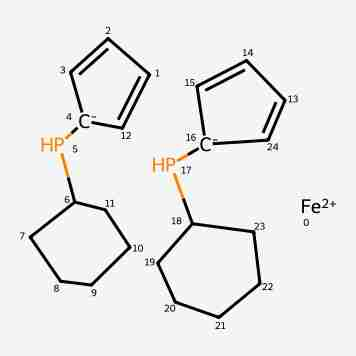 [Fe+2].c1cc[c-](PC2CCCCC2)c1.c1cc[c-](PC2CCCCC2)c1